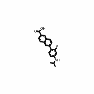 CC(C)Nc1ccc(-c2ccc3cc(C(=O)O)ccc3c2)c(F)c1